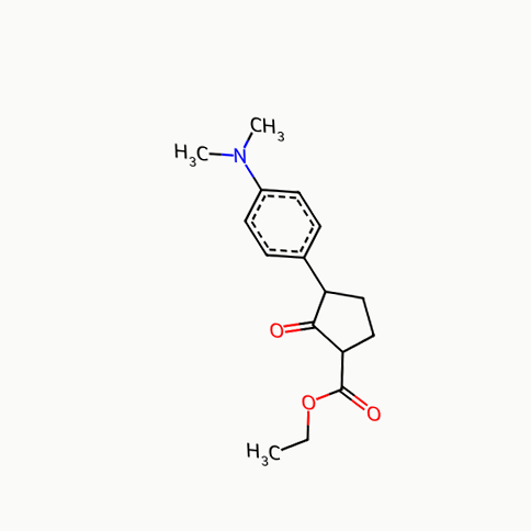 CCOC(=O)C1CCC(c2ccc(N(C)C)cc2)C1=O